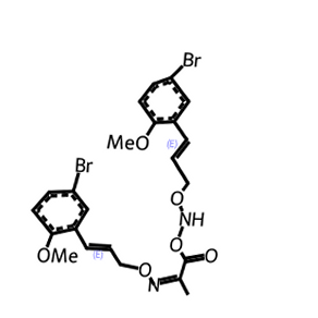 COc1ccc(Br)cc1/C=C/CON=C(C)C(=O)ONOC/C=C/c1cc(Br)ccc1OC